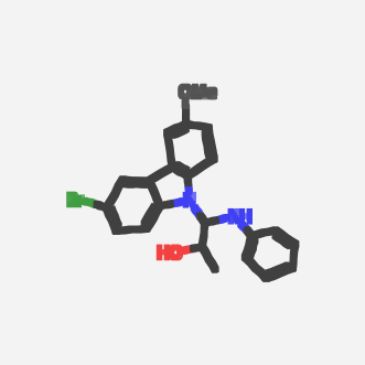 COc1ccc2c(c1)c1cc(Br)ccc1n2C(Nc1ccccc1)C(C)O